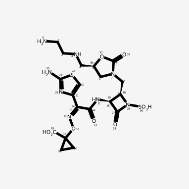 NCCNC[C@@H]1CN(C[C@@H]2[C@H](NC(=O)/C(=N\OC3(C(=O)O)CC3)c3csc(N)n3)C(=O)N2S(=O)(=O)O)C(=O)O1